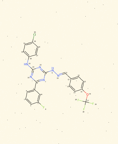 Fc1cccc(-c2nc(N/N=C/c3ccc(OC(F)(F)F)cc3)nc(Nc3ccc(Cl)cc3)n2)c1